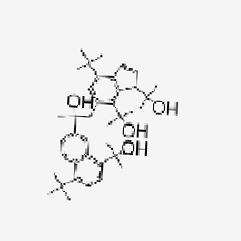 CC(C)(C)c1cc(CC(C)(O)c2ccc3c(C(C)(C)C)ccc(C(C)(C)O)c3c2)c(C(C)(C)O)c2c1C=CC2C(C)(C)O